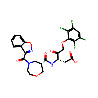 O=C(O)C[C@H](NC(=O)[C@@H]1COCCN(C(=O)c2noc3ccccc23)C1)C(=O)COc1c(F)c(F)cc(F)c1F